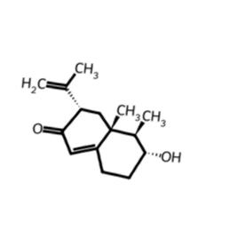 C=C(C)[C@@H]1C[C@@]2(C)C(=CC1=O)CC[C@@H](O)[C@@H]2C